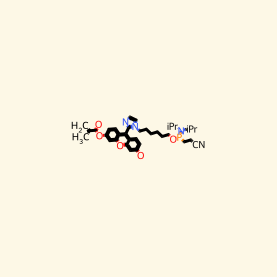 C=C(C)C(=O)Oc1ccc2c(-c3nccn3CCCCCCOP(CCC#N)N(C(C)C)C(C)C)c3ccc(=O)cc-3oc2c1